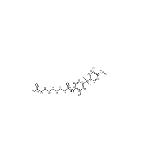 COc1ccc(C(C)(C)c2ccc(OC(=O)CCCCCCCC(C)=O)c(C)c2)cc1C